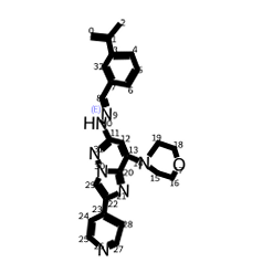 C=C(C)c1cccc(/C=N/Nc2cc(N3CCOCC3)c3nc(-c4ccncc4)cn3n2)c1